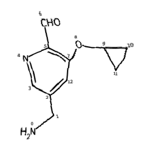 NCc1cnc(C=O)c(OC2CC2)c1